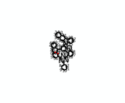 c1ccc(-c2nc(-c3ccccc3)nc(-c3cccc4oc5c(-n6c7ccccc7c7cc8ccccc8cc76)cc(-c6cccc7ccccc67)cc5c34)n2)cc1